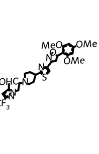 COc1cc(OC)c(C2CC(c3csc(C4CCN(C(C=O)Cn5nc(C(F)(F)F)cc5C)CC4)n3)=NO2)c(OC)c1